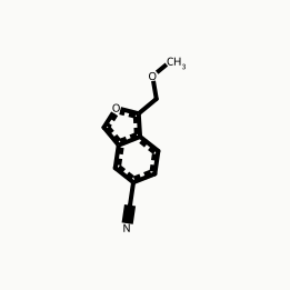 COCc1occ2cc(C#N)ccc12